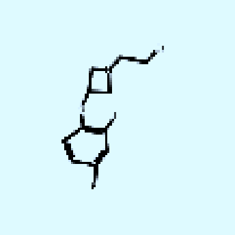 CCCN1CC(Oc2ccc(Br)cc2F)C1